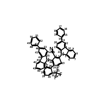 N#Cc1c(-n2c3ccccc3c3cc(-c4ccccc4)ccc32)ccc(-c2ccccc2C(F)(F)F)c1-n1c2ccccc2c2cc(-c3ccccc3)ccc21